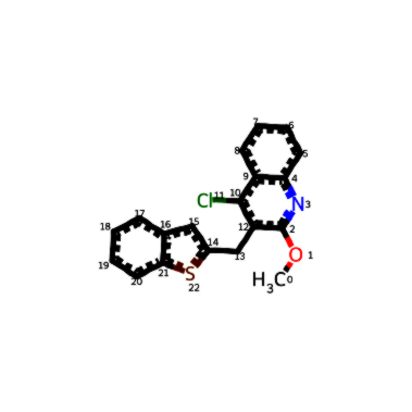 COc1nc2ccccc2c(Cl)c1Cc1cc2ccccc2s1